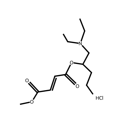 CCCC(CN(CC)CC)OC(=O)C=CC(=O)OC.Cl